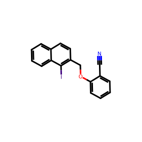 N#Cc1ccccc1OCc1ccc2ccccc2c1I